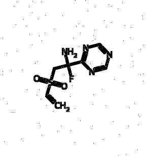 C=CS(=O)(=O)CC(N)(F)c1ncncn1